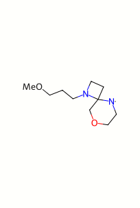 COCCCN1CCC12COCC[N]2